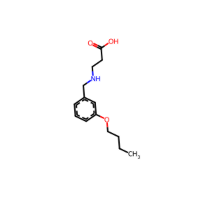 CCCCOc1cccc(CNCCC(=O)O)c1